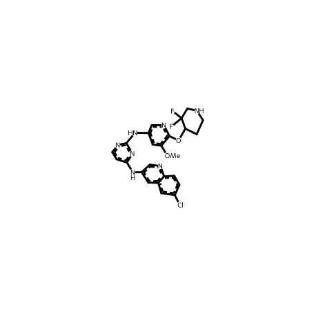 COc1cc(Nc2nccc(Nc3cnc4ccc(Cl)cc4c3)n2)cnc1OC1CCNCC1(F)F